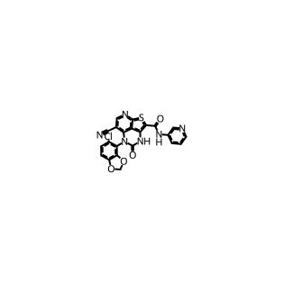 N#Cc1cnc2sc(C(=O)Nc3cccnc3)c3c2c1N(c1c(Cl)ccc2c1OCO2)C(=O)N3